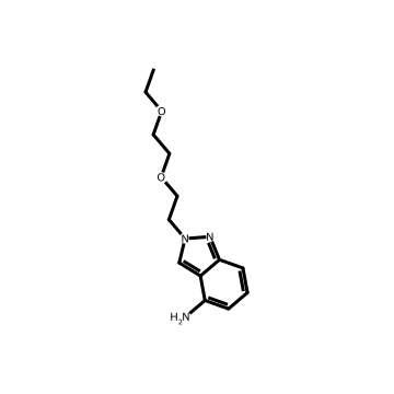 CCOCCOCCn1cc2c(N)cccc2n1